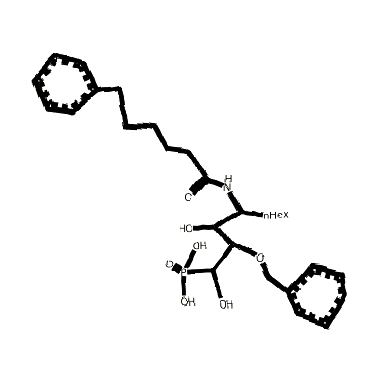 CCCCCCC(NC(=O)CCCCCc1ccccc1)C(O)C(OCc1ccccc1)C(O)P(=O)(O)O